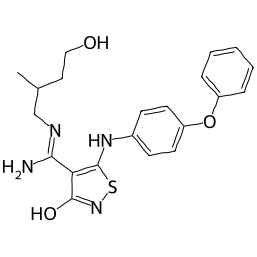 CC(CCO)CN=C(N)c1c(O)nsc1Nc1ccc(Oc2ccccc2)cc1